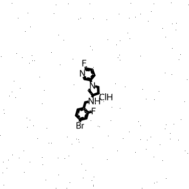 Cl.Fc1ccc(N2CCC(NCc3ccc(Br)cc3F)C2)cn1